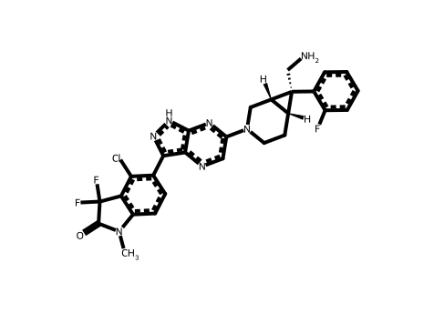 CN1C(=O)C(F)(F)c2c1ccc(-c1n[nH]c3nc(N4CC[C@@H]5[C@H](C4)[C@@]5(CN)c4ccccc4F)cnc13)c2Cl